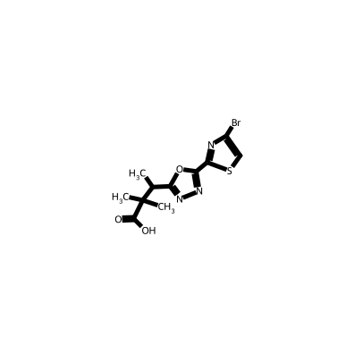 CC(c1nnc(-c2nc(Br)cs2)o1)C(C)(C)C(=O)O